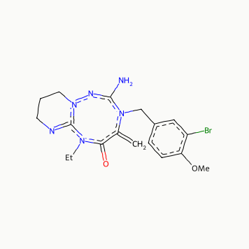 C=c1c(=O)n(CC)c2n(nc(N)n1Cc1ccc(OC)c(Br)c1)CCCN=2